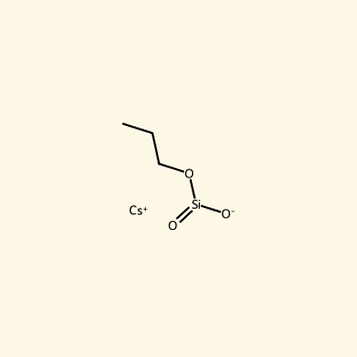 CCCO[Si](=O)[O-].[Cs+]